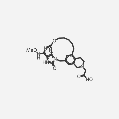 CONc1nc2nc3c1[nH]c(=O)n3Cc1cc(c3c(c1)CN(CC(=O)N=O)CC3)CCCCCO2